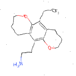 NCCc1c2c(c(CC(F)(F)F)c3c1OCCC3)OCCC2